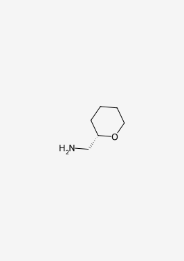 NC[C@@H]1CCCCO1